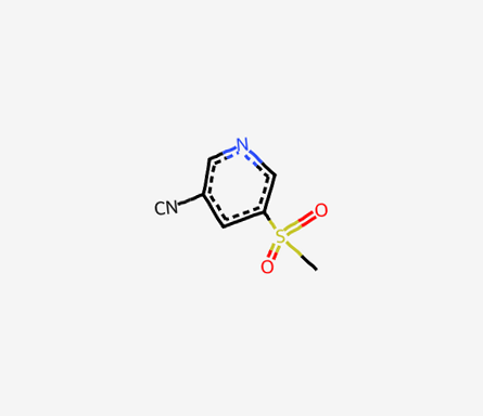 [C-]#[N+]c1cncc(S(C)(=O)=O)c1